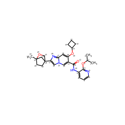 CC(C)Oc1ncccc1NC(=O)c1cn2cc(C34CCC(C)(C3)OC4)nc2cc1OC1CCC1